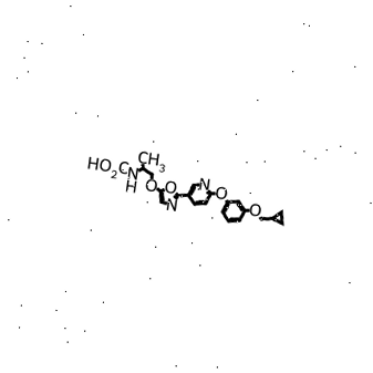 CC(COc1cnc(-c2ccc(Oc3cccc(OCC4CC4)c3)nc2)o1)NC(=O)O